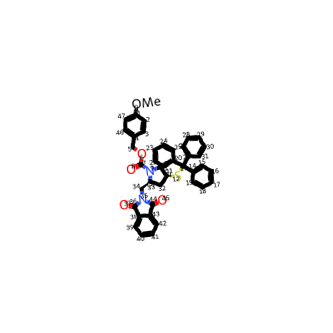 COc1ccc(COC(=O)N2C[C@@H](SC(c3ccccc3)(c3ccccc3)c3ccccc3)C[C@H]2CN2C(=O)c3ccccc3C2=O)cc1